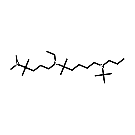 CCCN(CCCCC(C)(C)N(CC)CCCC(C)(C)N(C)C)C(C)(C)C